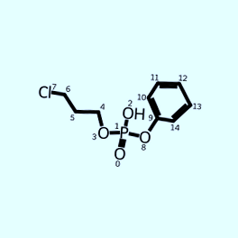 O=P(O)(OCCCCl)Oc1ccccc1